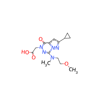 COCCN(C)c1nn(CC(=O)O)c(=O)c2cc(C3CC3)nn12